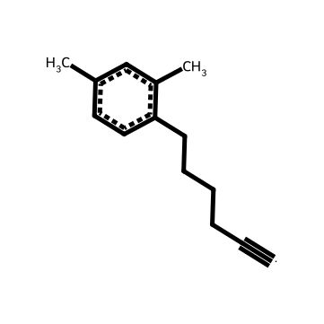 [C]#CCCCCc1ccc(C)cc1C